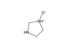 [O-][NH+]1[CH]NCC1